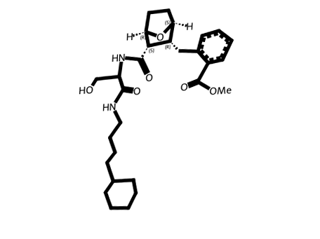 COC(=O)c1ccccc1C[C@@H]1[C@H](C(=O)NC(CO)C(=O)NCCCCC2CCCCC2)[C@H]2CC[C@@H]1O2